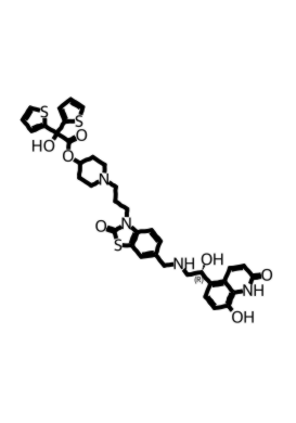 O=C(OC1CCN(CCCn2c(=O)sc3cc(CNC[C@H](O)c4ccc(O)c5[nH]c(=O)ccc45)ccc32)CC1)C(O)(c1cccs1)c1cccs1